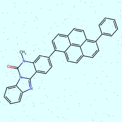 Cn1c(=O)n2c3ccccc3nc2c2ccc(-c3ccc4ccc5c(-c6ccccc6)ccc6ccc3c4c65)cc21